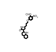 NC(=O)C(CCCCCOc1ccc([N+](=O)[O-])c(C=O)c1)C1CCC2CCCCC2N1